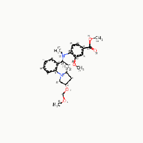 COCO[C@H]1CCN(c2ccccc2C(C)N(C)c2ccc(C(=O)OC)cc2OC)C1